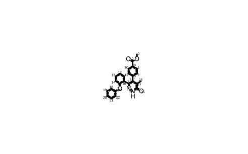 COC(=O)c1ccc(-c2c(-c3ccccc3Oc3ccccc3)n[nH]c(=O)c2C)cc1